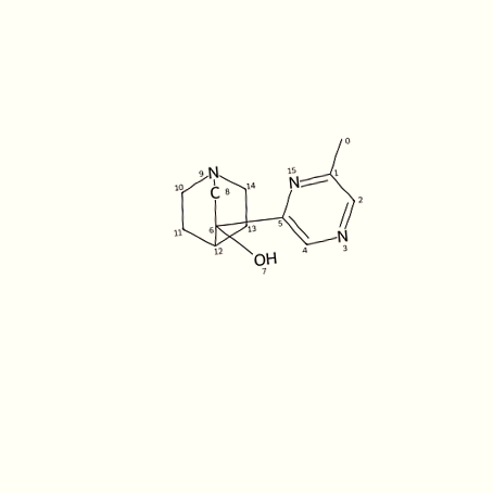 Cc1cncc(C2(O)CN3CCC2CC3)n1